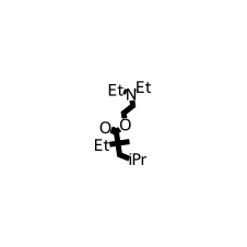 CCN(CC)CCOC(=O)C(C)(CC)CC(C)C